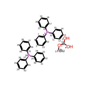 CCCCOB(O)O.c1ccc(P(c2ccccc2)c2ccccc2)cc1.c1ccc(P(c2ccccc2)c2ccccc2)cc1